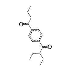 CCCC(=O)c1ccc(C(=O)C(CC)CC)cc1